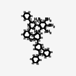 Bc1c(B)c(B)c(-c2nc(-c3ccccc3)nc(-c3cccc4oc5c(-c6ccc7c(c6)c6ccccc6n7-c6ccccc6)cccc5c34)n2)c(B)c1B